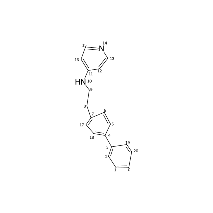 c1ccc(-c2ccc(CCNc3ccncc3)cc2)cc1